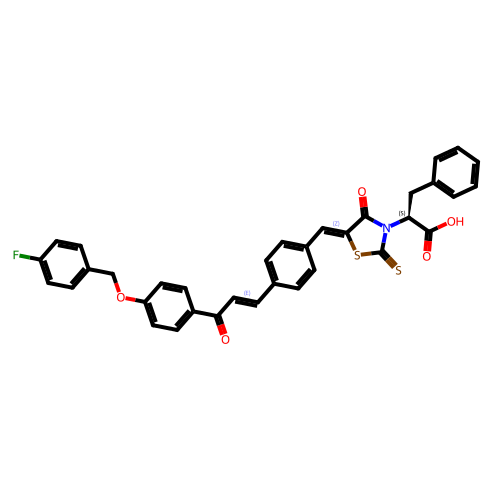 O=C(/C=C/c1ccc(/C=C2\SC(=S)N([C@@H](Cc3ccccc3)C(=O)O)C2=O)cc1)c1ccc(OCc2ccc(F)cc2)cc1